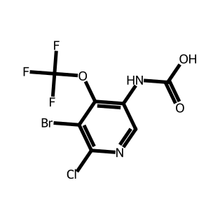 O=C(O)Nc1cnc(Cl)c(Br)c1OC(F)(F)F